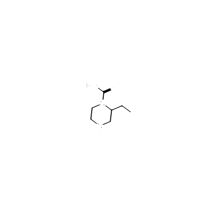 CCC1CNCCN1C(=O)O